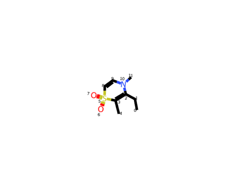 CCC1=C(C)S(=O)(=O)C=CN1C